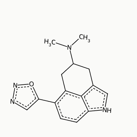 CN(C)C1Cc2c[nH]c3ccc(-c4cnno4)c(c23)C1